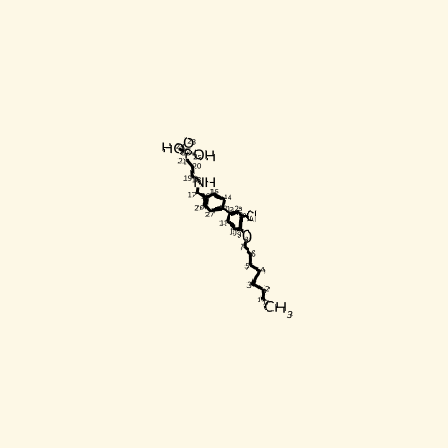 CCCCCCCCOc1ccc(-c2ccc(CNCCCP(=O)(O)O)cc2)cc1Cl